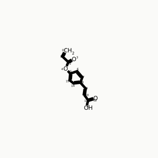 C=CC(=O)Oc1ccc(C=CC(=O)O)cc1